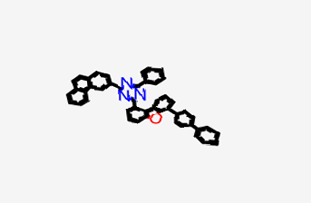 c1ccc(-c2ccc(-c3cccc4c3oc3cccc(-c5nc(-c6ccccc6)nc(-c6ccc7ccc8ccccc8c7c6)n5)c34)cc2)cc1